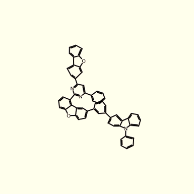 c1ccc(-c2cc(-c3ccc4c(c3)oc3ccccc34)nc(-c3cccc4oc5ccc(-c6cccc(-c7ccc8c(c7)c7ccccc7n8-c7ccccc7)c6)cc5c34)n2)cc1